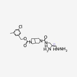 Cc1cc(Cl)cc(COC(=O)N2CC3CN(C(=O)NC/C(N)=C/NN)CC3C2)c1